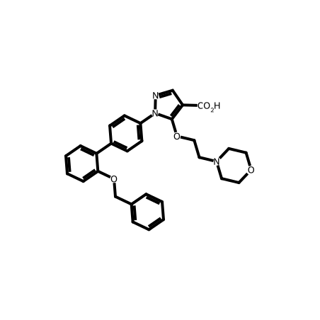 O=C(O)c1cnn(-c2ccc(-c3ccccc3OCc3ccccc3)cc2)c1OCCN1CCOCC1